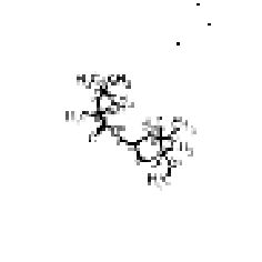 COC1(C)OCC(COC(=O)C(C)(C)CC(C)(C)C)OC1(C)OC